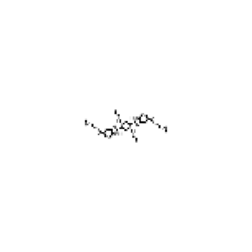 CCCOc1cc(-c2nc3cc(OCCCN(C)C)ccc3[nH]2)c(OCCC)cc1-c1nc2cc(OCCCN(C)C)ccc2[nH]1